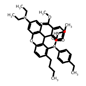 CCCCc1ccc2c(c1N(c1ccc(CC)cc1)S(=O)(=O)NCC)C(c1ccccc1C(=O)OC)c1ccc(N(CC)CC)cc1O2